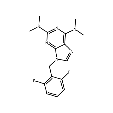 CN(C)c1nc(N(C)C)c2ncn(Cc3c(F)cccc3F)c2n1